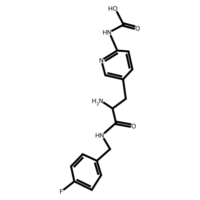 NC(Cc1ccc(NC(=O)O)nc1)C(=O)NCc1ccc(F)cc1